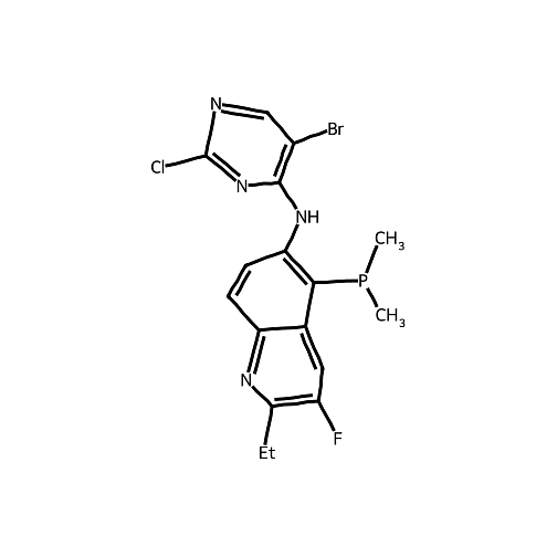 CCc1nc2ccc(Nc3nc(Cl)ncc3Br)c(P(C)C)c2cc1F